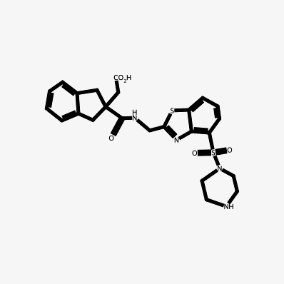 O=C(O)CC1(C(=O)NCc2nc3c(S(=O)(=O)N4CCNCC4)cccc3s2)Cc2ccccc2C1